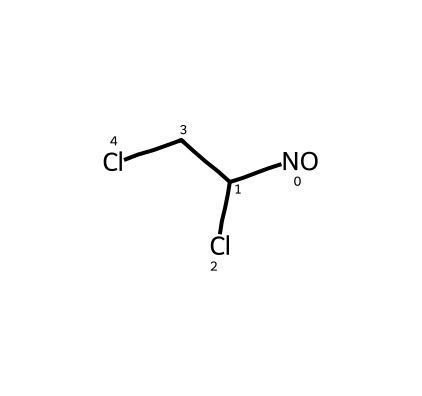 O=NC(Cl)CCl